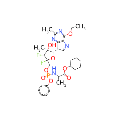 CCOc1nc(C)nc2c1N=CC2[C@@H]1O[C@](F)(COP(=O)(NC(C)C(=O)OC2CCCCC2)Oc2ccccc2)[C@@H](F)[C@@]1(C)O